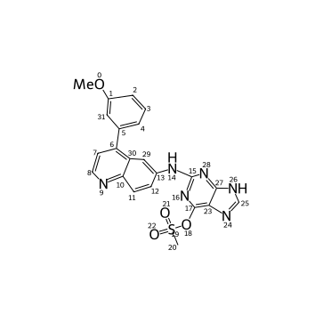 COc1cccc(-c2ccnc3ccc(Nc4nc(OS(C)(=O)=O)c5nc[nH]c5n4)cc23)c1